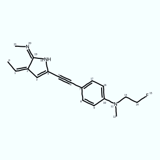 C/C=C1/C=C(C#Cc2ccc(N(C)CCF)cc2)N/C1=N/C